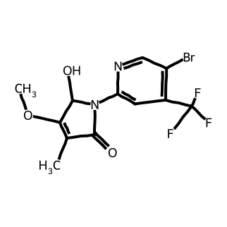 COC1=C(C)C(=O)N(c2cc(C(F)(F)F)c(Br)cn2)C1O